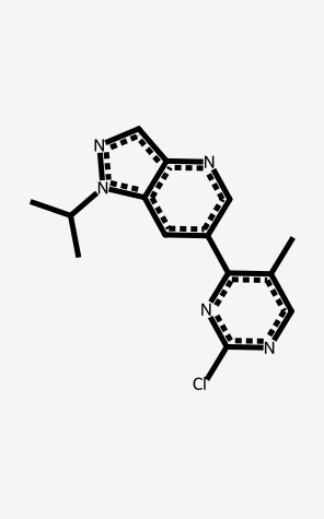 Cc1cnc(Cl)nc1-c1cnc2cnn(C(C)C)c2c1